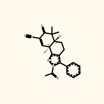 [C-]#[N+]C1=C[C@]2(C)c3nn(C(C)=O)c(-c4ccccc4)c3CC[C@H]2C(C)(C)C1=O